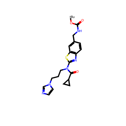 CC(C)(C)OC(=O)NCc1ccc2nc(N(CCCn3ccnc3)C(=O)C3CC3)sc2c1